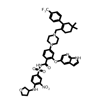 CC1(C)CCC(CN2CCN(c3ccc(C(=O)NS(=O)(=O)c4ccc(NC5CCOC5)c([N+](=O)[O-])c4)c(Oc4cnc5[nH]ccc5c4)c3)CC2)=C(c2ccc(C(F)(F)F)cc2)C1